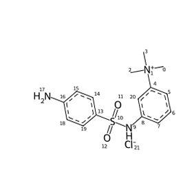 C[N+](C)(C)c1cccc(NS(=O)(=O)c2ccc(N)cc2)c1.[Cl-]